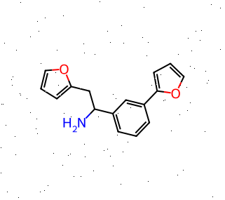 NC(Cc1ccco1)c1cccc(-c2ccco2)c1